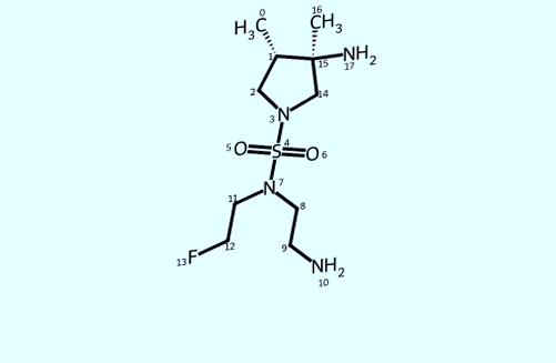 C[C@H]1CN(S(=O)(=O)N(CCN)CCF)C[C@]1(C)N